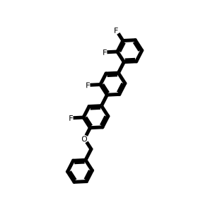 Fc1cc(-c2ccc(-c3cccc(F)c3F)cc2F)ccc1OCc1ccccc1